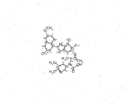 COc1cnc2c(-c3nc4c(Cl)c(F)c(O[C@@H](C)[C@@H](C)N(C(=O)O)c5cnc(C)c(C)c5)cc4s3)cc(Cl)cc2c1